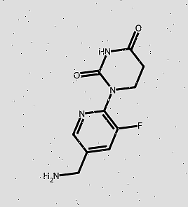 NCc1cnc(N2CCC(=O)NC2=O)c(F)c1